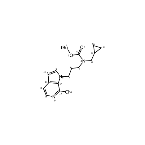 CC(C)(C)OC(=O)N(CCCn1cnc2ccnc(Cl)c21)CC1CC1